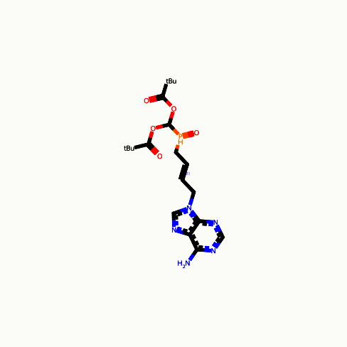 CC(C)(C)C(=O)OC(OC(=O)C(C)(C)C)[PH](=O)C/C=C/Cn1cnc2c(N)ncnc21